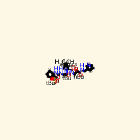 CCCCC(NC(=O)[C@@H]1[C@@H]2[C@H](CN1C(=O)[C@@H](NC(=O)NC1(CS(=O)(=O)C(C)(C)C)CCCCC1)C(C)(C)C)C2(C)C)C(=O)C(=O)NCc1cccnc1